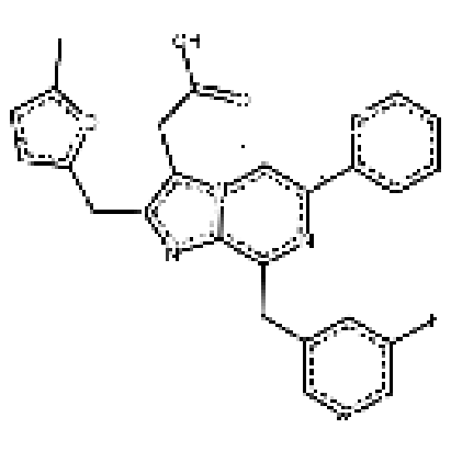 Cc1ccc(Cc2nc3c(Cc4cccc(F)c4)nc(-c4ccccc4)cn3c2CC(=O)O)o1